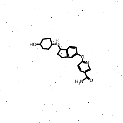 NC(=O)c1ccc(Oc2ccc3c(c2)CCC3[AsH]C2CCC(O)CC2)nc1